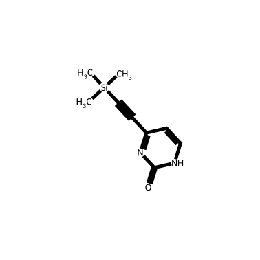 C[Si](C)(C)C#Cc1cc[nH]c(=O)n1